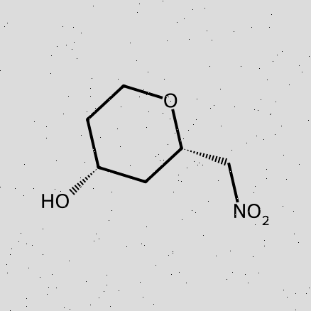 O=[N+]([O-])C[C@@H]1C[C@H](O)CCO1